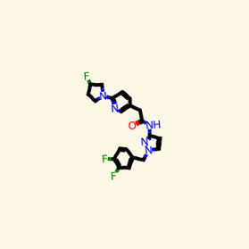 O=C(Cc1ccc(N2CCC(F)C2)nc1)Nc1ccn(Cc2ccc(F)c(F)c2)n1